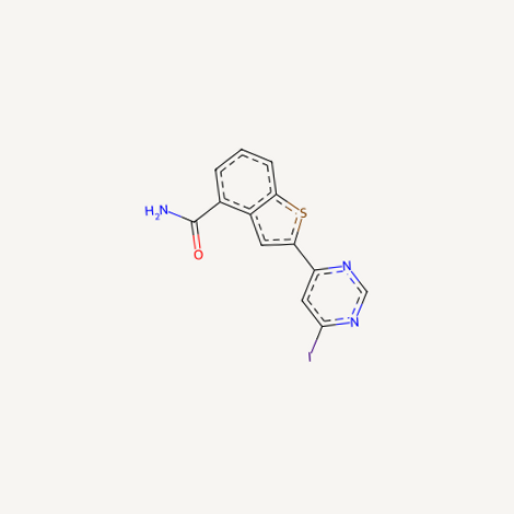 NC(=O)c1cccc2sc(-c3cc(I)ncn3)cc12